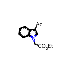 CCOC(=O)Cn1cc(C(C)=O)c2ccccc21